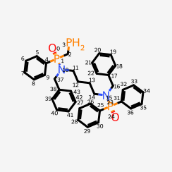 O=P(CP)(c1ccccc1)N(CCCCN(Cc1ccccc1)P(=O)(c1ccccc1)c1ccccc1)Cc1ccccc1